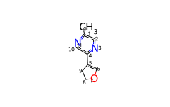 Cc1cnc(C2=COCC2)cn1